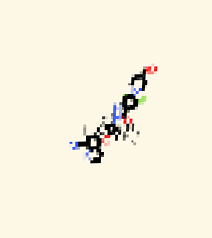 CC1(C)C(NC(=O)c2cc(F)c(N3CCC(C=O)CC3)c(F)c2)C(C)(C)C1Oc1ccc(C#N)c2ncccc12